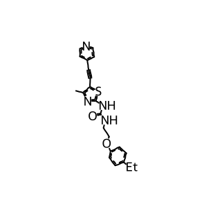 CCc1ccc(OCCNC(=O)Nc2nc(C)c(C#Cc3ccncc3)s2)cc1